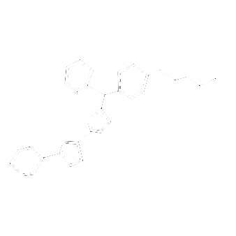 CCCCCCc1ccc(C(c2ccccc2)c2ccc(-c3ccc(-c4ccccc4)s3)s2)cc1